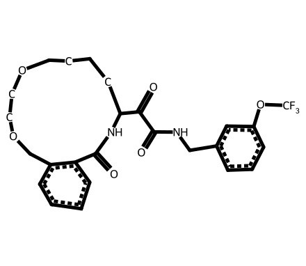 O=C(NCc1cccc(OC(F)(F)F)c1)C(=O)C1CCCCOCCOCc2ccccc2C(=O)N1